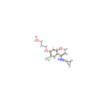 COCCCOc1cc2c(cc1Cl)C(NC1CC1)=CCO2